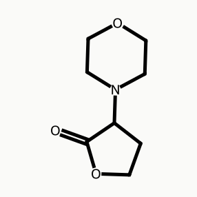 O=C1OCCC1N1CCOCC1